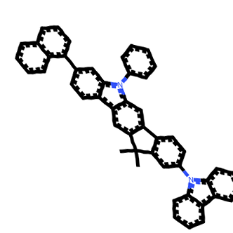 CC1(C)c2cc(-n3c4ccccc4c4ccccc43)ccc2-c2cc3c(cc21)c1ccc(-c2cccc4ccccc24)cc1n3-c1ccccc1